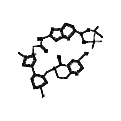 Cn1cc(-c2ccc(F)cc2CN2CCc3ncc(Br)cc3C2=O)c[n+]1CC(=O)Nc1cn2nc(B3OC(C)(C)C(C)(C)O3)ccc2n1